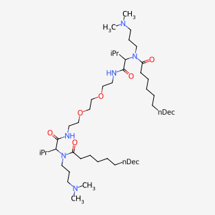 CCCCCCCCCCCCCCCC(=O)N(CCCN(C)C)C(C(=O)NCCOCCOCCNC(=O)C(C(C)C)N(CCCN(C)C)C(=O)CCCCCCCCCCCCCCC)C(C)C